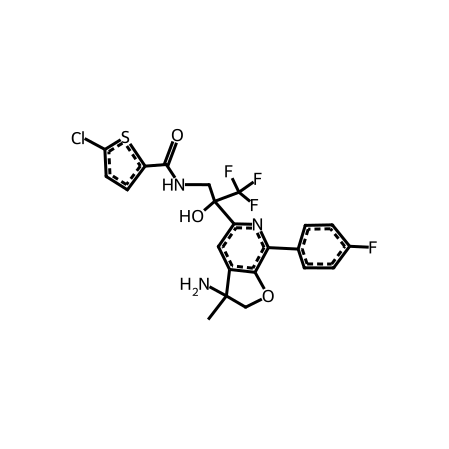 CC1(N)COc2c1cc(C(O)(CNC(=O)c1ccc(Cl)s1)C(F)(F)F)nc2-c1ccc(F)cc1